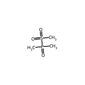 CP(C)(=O)S(C)(=O)=O